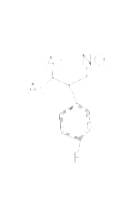 CC(=O)C(C(C)=O)C(C[N+](=O)[O-])c1ccc(F)cc1